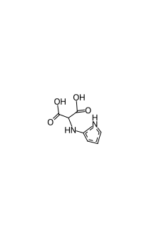 O=C(O)C(Nc1ccc[nH]1)C(=O)O